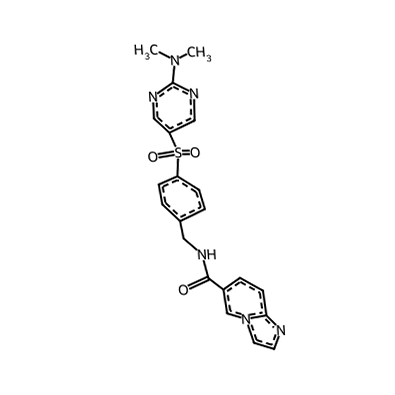 CN(C)c1ncc(S(=O)(=O)c2ccc(CNC(=O)c3ccc4nccn4c3)cc2)cn1